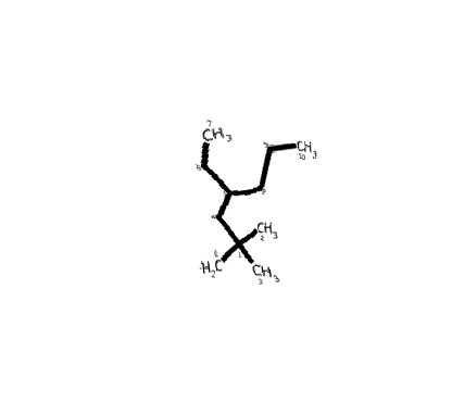 [CH2]C(C)(C)CC(CC)CCC